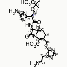 CC(C)(O/N=C(/C(=O)NC1C(=O)N2C(C(=O)O)=C(CSc3nnnn3CCN)CS[C@H]12)c1nsc(N)n1)C(=O)O